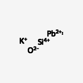 [K+].[O-2].[Pb+2].[Si+4]